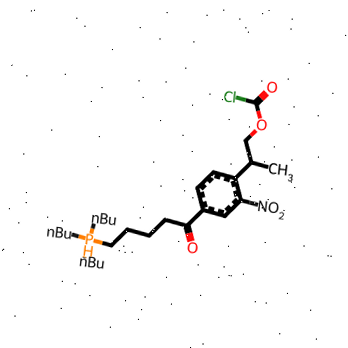 CCCC[PH](CCCC)(CCCC)CCCCC(=O)c1ccc(C(C)COC(=O)Cl)c([N+](=O)[O-])c1